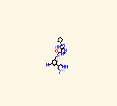 CN/C=C(\C=N)c1cc(C#N)cc(CNC(=O)c2ncnc3nc(C4CCCC4)[nH]c23)c1